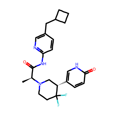 C[C@@H](C(=O)Nc1ccc(CC2CCC2)cn1)N1CCC(F)(F)[C@@H](c2ccc(=O)[nH]c2)C1